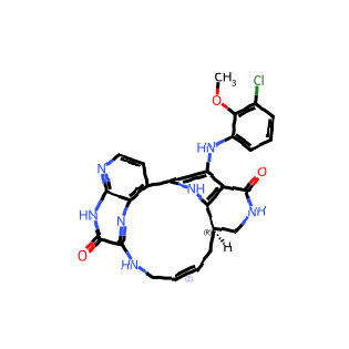 COc1c(Cl)cccc1Nc1c2[nH]c3c1C(=O)NC[C@H]3C/C=C\CNc1nc3c-2ccnc3[nH]c1=O